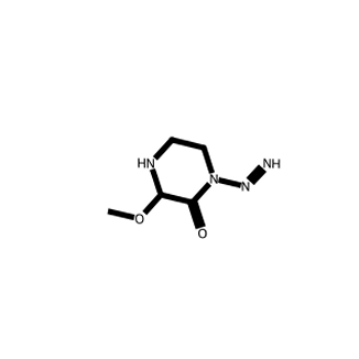 COC1NCCN(N=N)C1=O